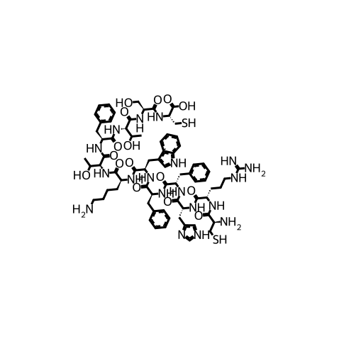 CC(O)[C@H](NC(=O)[C@H](Cc1ccccc1)NC(=O)[C@@H](NC(=O)[C@H](CCCCN)NC(=O)[C@@H](Cc1c[nH]c2ccccc12)NC(=O)[C@H](Cc1ccccc1)NC(=O)[C@H](Cc1ccccc1)NC(=O)[C@@H](Cc1c[nH]cn1)NC(=O)[C@H](CCCNC(=N)N)NC(=O)[C@@H](N)CS)C(C)O)C(=O)N[C@@H](CO)C(=O)N[C@@H](CS)C(=O)O